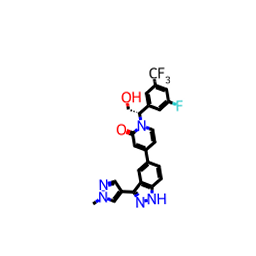 Cn1cc(-c2n[nH]c3ccc(-c4ccn([C@H](CO)c5cc(F)cc(C(F)(F)F)c5)c(=O)c4)cc23)cn1